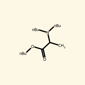 CCCCOC(=O)C(C)N(CCCC)CCCC